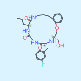 CCC[C@@H]1NC(=O)CNC(=O)[C@@H](Cc2cccc(F)c2)N[C@@H](CO)COc2ccccc2CCCNC1=O